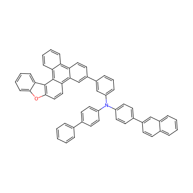 c1ccc(-c2ccc(N(c3ccc(-c4ccc5ccccc5c4)cc3)c3cccc(-c4ccc5c6ccccc6c6c(ccc7oc8ccccc8c76)c5c4)c3)cc2)cc1